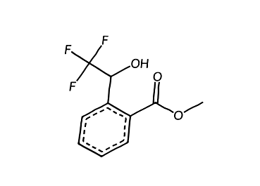 COC(=O)c1ccccc1C(O)C(F)(F)F